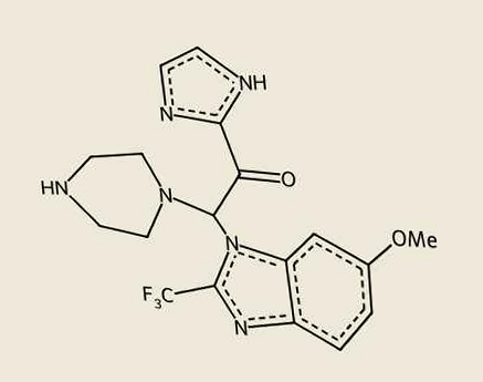 COc1ccc2nc(C(F)(F)F)n(C(C(=O)c3ncc[nH]3)N3CCNCC3)c2c1